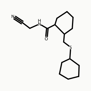 N#CCNC(=O)C1CCCCC1CSC1CCCCC1